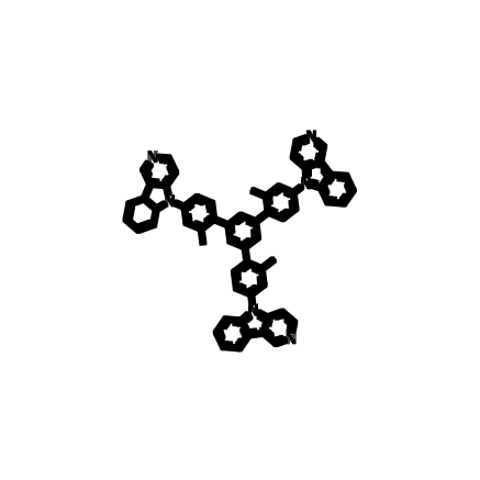 Cc1cc(N2c3ccncc3C3C=CC=CC32)ccc1-c1cc(-c2ccc(-n3c4ccccc4c4cnccc43)cc2C)cc(-c2ccc(-n3c4ccccc4c4cnccc43)cc2C)c1